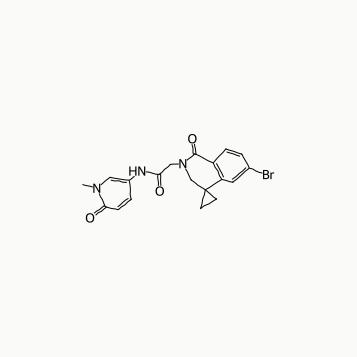 Cn1cc(NC(=O)CN2CC3(CC3)c3cc(Br)ccc3C2=O)ccc1=O